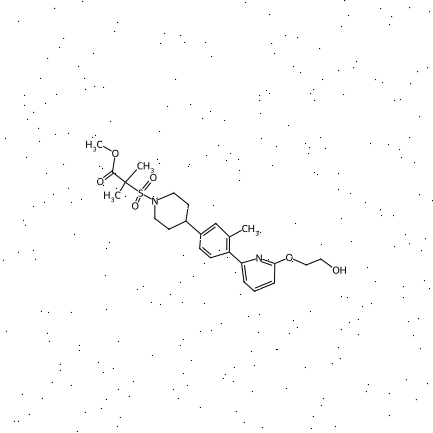 COC(=O)C(C)(C)S(=O)(=O)N1CCC(c2ccc(-c3cccc(OCCO)n3)c(C)c2)CC1